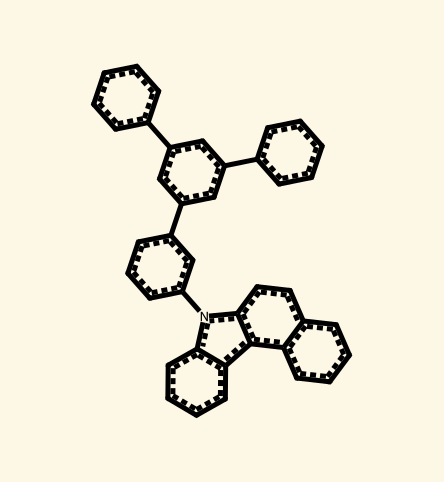 c1ccc(-c2cc(-c3ccccc3)cc(-c3cccc(-n4c5ccccc5c5c6ccccc6ccc54)c3)c2)cc1